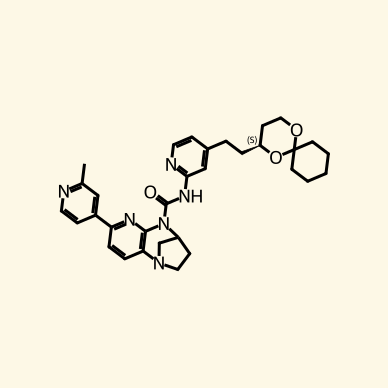 Cc1cc(-c2ccc3c(n2)N(C(=O)Nc2cc(CC[C@H]4CCOC5(CCCCC5)O4)ccn2)C2CCN3C2)ccn1